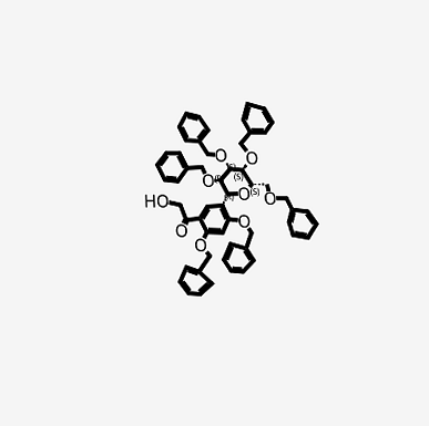 O=C(CO)c1cc([C@H]2O[C@@H](COCc3ccccc3)[C@H](OCc3ccccc3)[C@@H](OCc3ccccc3)[C@@H]2OCc2ccccc2)c(OCc2ccccc2)cc1OCc1ccccc1